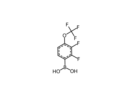 OB(O)c1ccc(OC(F)(F)F)c(F)c1F